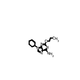 CCCOc1nc(N)c2ncn(C3C=CCCC3)c2n1